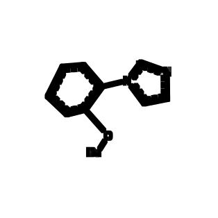 CCC(C)Oc1ccccc1-n1[c]ncc1